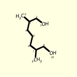 CC(CO)CCCC(C)CO